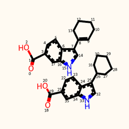 O=C(O)c1ccc2c(C3=CCCCC3)c[nH]c2c1.O=C(O)c1ccc2c(C3CCCCC3)c[nH]c2c1